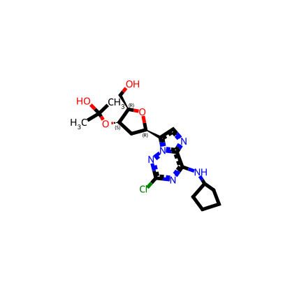 CC(C)(O)O[C@H]1C[C@H](c2cnc3c(NC4CCCC4)nc(Cl)nn23)O[C@@H]1CO